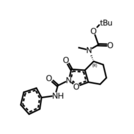 CN(C(=O)OC(C)(C)C)[C@@H]1CCCc2on(C(=O)Nc3ccccc3)c(=O)c21